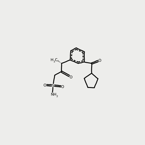 C[C@@H](C(=O)CS(N)(=O)=O)c1cccc(C(=O)C2CCCC2)c1